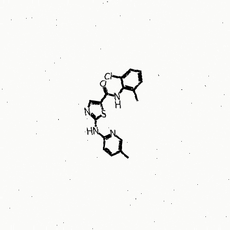 Cc1ccc(Nc2ncc(C(=O)Nc3c(C)cccc3Cl)s2)nc1